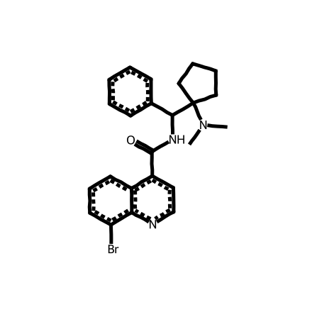 CN(C)C1(C(NC(=O)c2ccnc3c(Br)cccc23)c2ccccc2)CCCC1